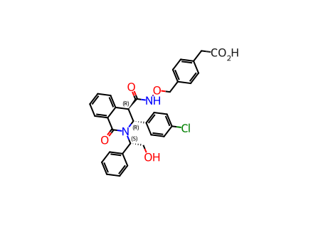 O=C(O)Cc1ccc(CONC(=O)[C@@H]2c3ccccc3C(=O)N([C@H](CO)c3ccccc3)[C@H]2c2ccc(Cl)cc2)cc1